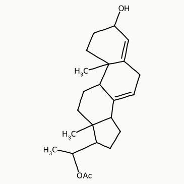 CC(=O)OC(C)C1CCC2C3=CCC4=CC(O)CCC4(C)C3CCC21C